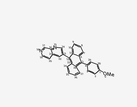 COc1ccc(-c2c3ccccc3c(-c3cnc4cnccc4c3)c3ccccc23)cc1